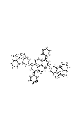 CC1(C)c2ccccc2-c2cc(-c3cc(-c4cccnc4)c4ccc5c(-c6ccc7c(c6)-c6ccccc6C7(C)C)cc(-c6cccnc6)c6ccc3c4c65)ccc21